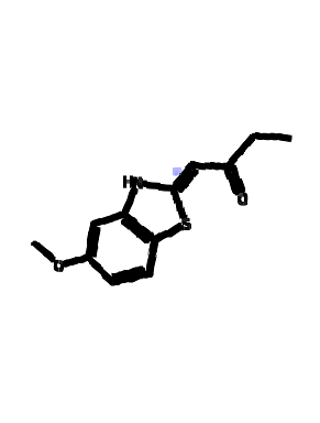 CCC(=O)/C=C1/Nc2cc(OC)ccc2S1